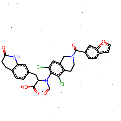 O=CN(c1c(Cl)cc2c(c1Cl)CCN(C(=O)c1ccc3ccoc3c1)C2)C(Cc1ccc2c(c1)NC(=O)CC2)C(=O)O